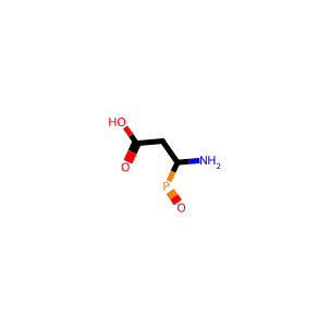 NC(CC(=O)O)P=O